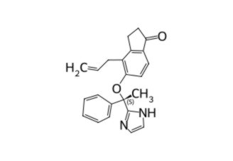 C=CCc1c(O[C@@](C)(c2ccccc2)c2ncc[nH]2)ccc2c1CCC2=O